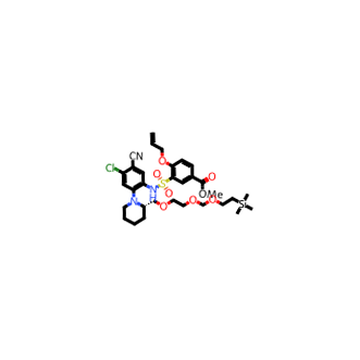 C=CCOc1ccc(C(=O)OC)cc1S(=O)(=O)Nc1cc(C#N)c(Cl)cc1N1CCCC[C@H]1COCCOCOCC[Si](C)(C)C